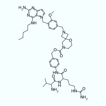 CCCCCNc1nc(N)nc2ccn(Cc3ccc(CN4CC5(C4)CN(C(=O)OCc4ccc(NC(=O)C(CCCNC(N)=O)NC(=O)C(N)C(C)C)cc4)CCO5)cc3OC)c12